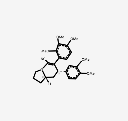 COc1ccc([C@@H]2C[C@@H]3CCCN3C(C#N)=C2c2ccc(OC)c(OC)c2OC)cc1OC